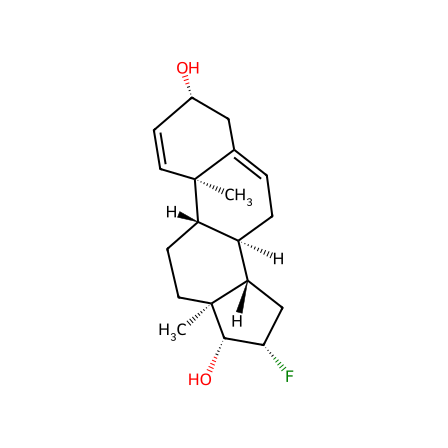 C[C@]12CC[C@H]3[C@@H](CC=C4C[C@@H](O)C=C[C@@]43C)[C@@H]1C[C@H](F)[C@@H]2O